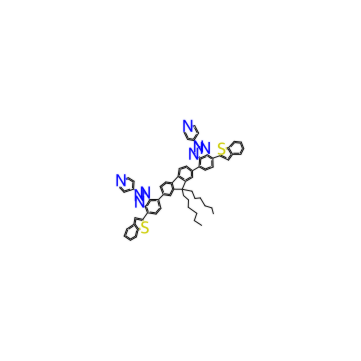 CCCCCCC1(CCCCCC)c2cc(-c3ccc(-c4cc5ccccc5s4)c4nn(-c5ccncc5)nc34)ccc2-c2ccc(-c3ccc(-c4cc5ccccc5s4)c4nn(-c5ccncc5)nc34)cc21